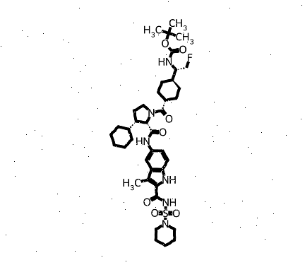 Cc1c(C(=O)NS(=O)(=O)N2CCCCC2)[nH]c2ccc(NC(=O)[C@@H]3[C@H](C4CCCCC4)CCN3C(=O)[C@H]3CC[C@H]([C@@H](CF)NC(=O)OC(C)(C)C)CC3)cc12